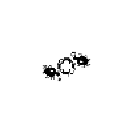 O=C(N1CCOCCN(C(=O)C23CC4CC(C2)C(C4)C3)CCOCC1)C12CC3CC(C1)C(C3)C2